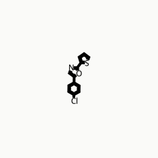 Clc1ccc(-c2cnc(-c3cccs3)o2)cc1